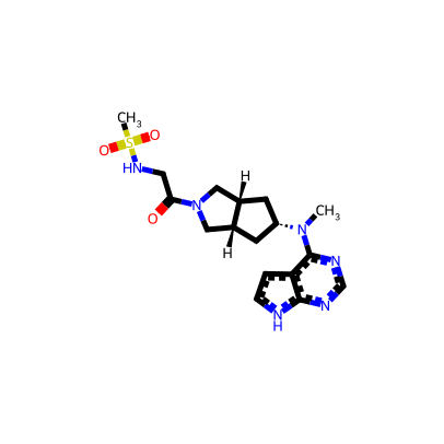 CN(c1ncnc2[nH]ccc12)[C@@H]1C[C@@H]2CN(C(=O)CNS(C)(=O)=O)C[C@@H]2C1